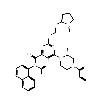 C=CC(=O)N1C[C@H](C)N(c2nc(OCSC3CCCN3C)nc3c(=O)n(-c4cccc5ccccc45)c(C(F)(F)F)nc23)[C@@H](C)C1